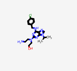 CC(C)n1cnc2c(NCc3ccc(Cl)cc3)nc(N(CCN)CCO)nc21